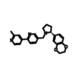 Cc1cc(-c2ccc(CN3CCC[C@@H]3c3ccc4c(c3)OCCO4)cn2)ccn1